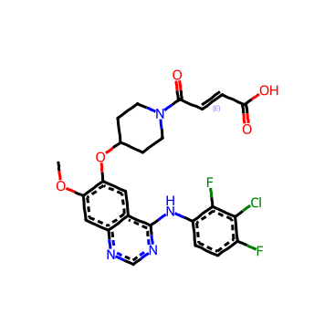 COc1cc2ncnc(Nc3ccc(F)c(Cl)c3F)c2cc1OC1CCN(C(=O)/C=C/C(=O)O)CC1